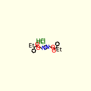 CCC(C(=O)OCCN1CCN(CCOC(=O)C(CC)c2ccccc2)CC1)c1ccccc1.Cl.Cl